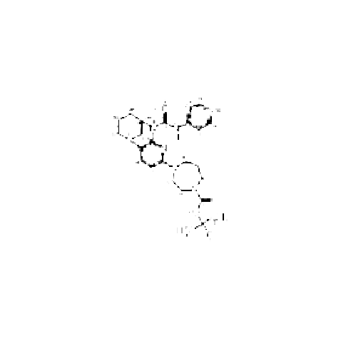 CC(C)(C)OC(=O)N1CCCN(c2ccc3c(n2)N(C(=O)Nc2ccncn2)[C@H]2CCCN3C2)CC1